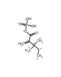 C=C(C(=O)OP(=O)(O)O)C(C)(C)CC